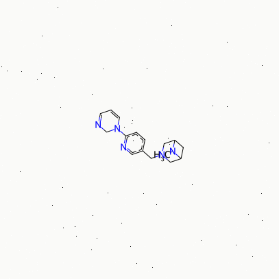 CN1C2CC1CN(Cc1ccc(N3C=CC=NC3)nc1)C2